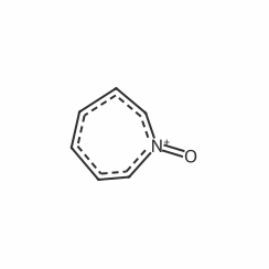 O=[n+]1cccccc1